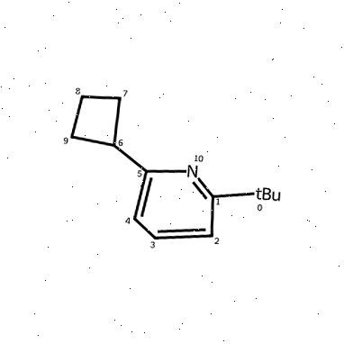 CC(C)(C)c1cccc(C2CCC2)n1